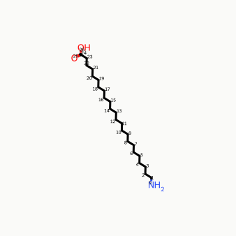 NCCCCCCCCCCCCCCCCCCCCCCCC(=O)O